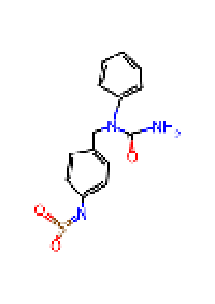 NC(=O)N(Cc1ccc(N=S(=O)=O)cc1)c1ccccc1